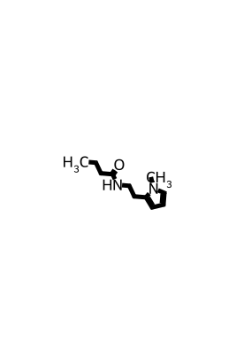 CCCC(=O)NCCc1cccn1C